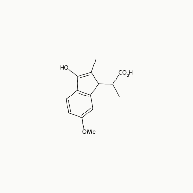 COc1ccc2c(c1)C(C(C)C(=O)O)C(C)=C2O